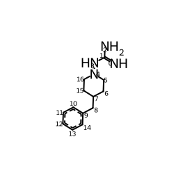 N=C(N)NN1CCC(Cc2ccccc2)CC1